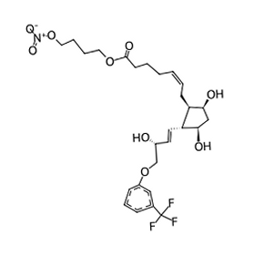 O=C(CCC/C=C\C[C@@H]1[C@@H](/C=C/[C@@H](O)COc2cccc(C(F)(F)F)c2)[C@H](O)C[C@@H]1O)OCCCCO[N+](=O)[O-]